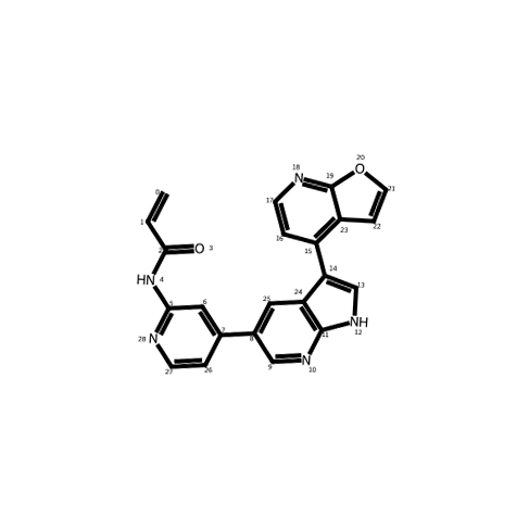 C=CC(=O)Nc1cc(-c2cnc3[nH]cc(-c4ccnc5occc45)c3c2)ccn1